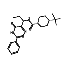 CCC(NC(=O)[C@H]1CC[C@@H](C(C)(C)C)CC1)c1nnc(-c2ccccn2)[nH]c1=O